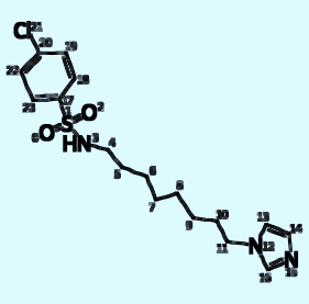 O=S(=O)(NCCCCCCCCn1ccnc1)c1ccc(Cl)cc1